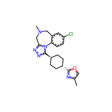 Cc1coc([C@H]2CC[C@H](c3nnc4n3-c3ccc(Cl)cc3CN(C)C4)CC2)n1